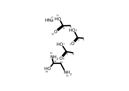 CC(=O)O.CC(=O)O.CC(=O)O.NCC(N)O.[NaH]